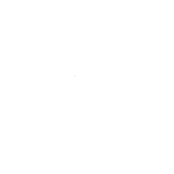 O=CC(c1ccccc1)C1CCN(C(=O)OCc2ccccc2)CC1